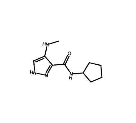 CNc1c[nH]nc1C(=O)NC1CCCC1